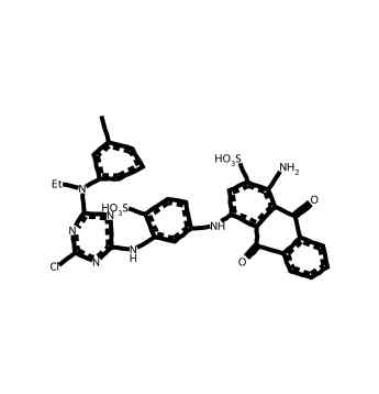 CCN(c1cccc(C)c1)c1nc(Cl)nc(Nc2cc(Nc3cc(S(=O)(=O)O)c(N)c4c3C(=O)c3ccccc3C4=O)ccc2S(=O)(=O)O)n1